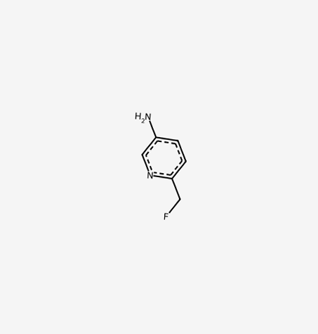 Nc1ccc(CF)nc1